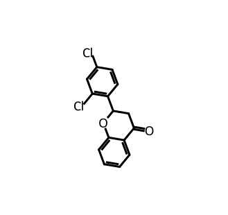 O=C1CC(c2ccc(Cl)cc2Cl)Oc2ccccc21